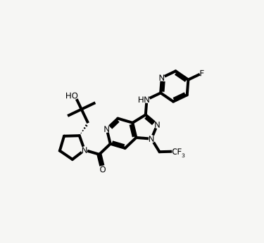 CC(C)(O)C[C@H]1CCCN1C(=O)c1cc2c(cn1)c(Nc1ccc(F)cn1)nn2CC(F)(F)F